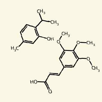 COc1cc(C=CC(=O)O)cc(OC)c1OC.Cc1ccc(C(C)C)c(O)c1